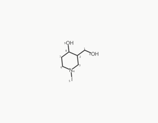 OCC1CN(I)CCC1O